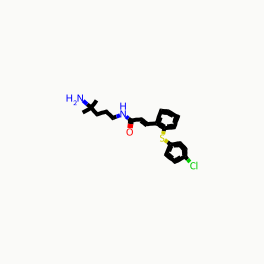 CC(C)(N)CCCNC(=O)C=Cc1ccccc1Sc1ccc(Cl)cc1